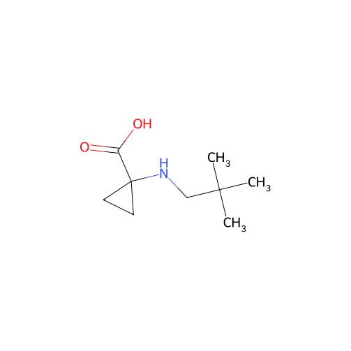 CC(C)(C)CNC1(C(=O)O)CC1